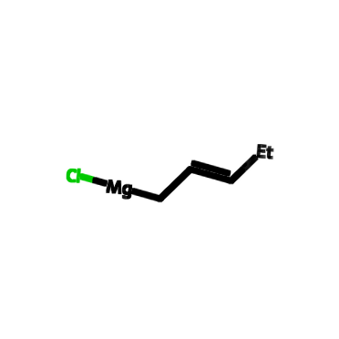 CCC=C[CH2][Mg][Cl]